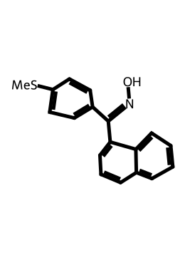 CSc1ccc(C(=NO)c2cccc3ccccc23)cc1